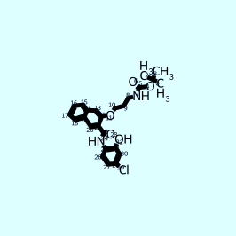 CC(C)(C)OC(=O)NCCCOc1cc2ccccc2cc1C(=O)Nc1ccc(Cl)cc1O